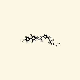 CCOC(=O)C[C@H](O)NC(=O)c1ccc(CC(C)COc2cc(C)c(-c3ccc(C(F)(F)F)cc3)c(C)c2)s1